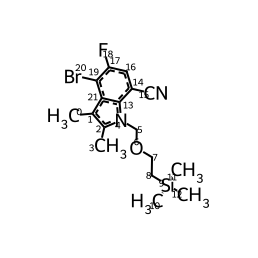 Cc1c(C)n(COCC[Si](C)(C)C)c2c(C#N)cc(F)c(Br)c12